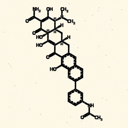 CC(=O)Nc1cccc(-c2ccc3cc4c(c(O)c3c2)C(=O)C2=C(O)[C@]3(O)C(=O)C(C(N)=O)=C(O)[C@@H](N(C)C)[C@@H]3C[C@@H]2C4)c1